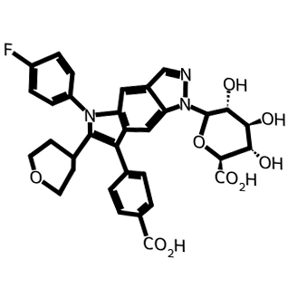 O=C(O)c1ccc(-c2c(C3CCOCC3)n(-c3ccc(F)cc3)c3cc4cnn(C5O[C@H](C(=O)O)[C@@H](O)[C@H](O)[C@H]5O)c4cc23)cc1